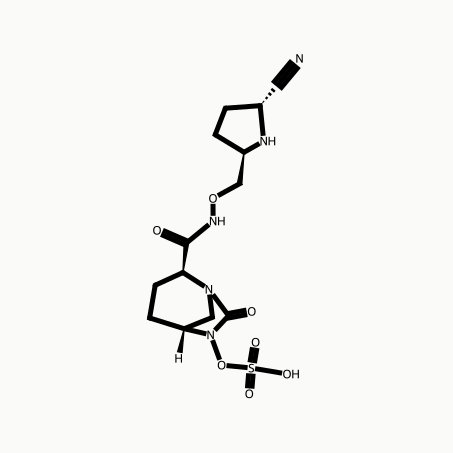 N#C[C@H]1CC[C@H](CONC(=O)[C@@H]2CC[C@@H]3CN2C(=O)N3OS(=O)(=O)O)N1